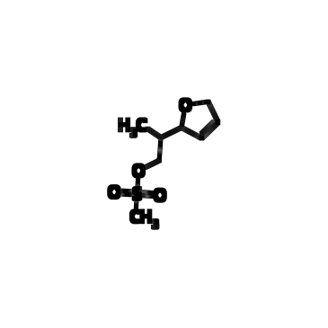 CC(COS(C)(=O)=O)C1C=CCO1